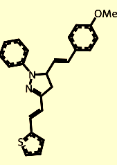 COc1ccc(C=CC2CC(C=Cc3cccs3)=NN2c2ccccc2)cc1